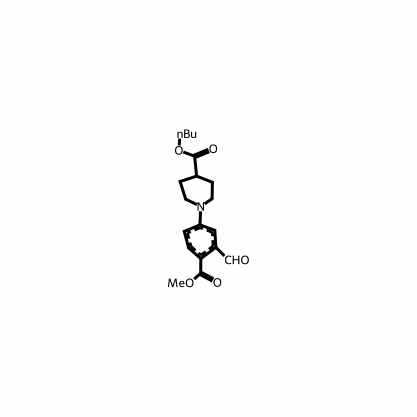 CCCCOC(=O)C1CCN(c2ccc(C(=O)OC)c(C=O)c2)CC1